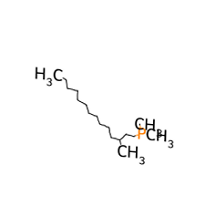 CCCCCCCCCCCC(C)CCP(C)C